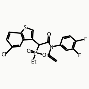 C=CN(C(=O)C(c1csc2ccc(Cl)cc12)P(=O)(O)CC)c1ccc(F)c(F)c1